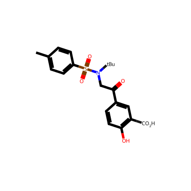 Cc1ccc(S(=O)(=O)N(CC(=O)c2ccc(O)c(C(=O)O)c2)C(C)(C)C)cc1